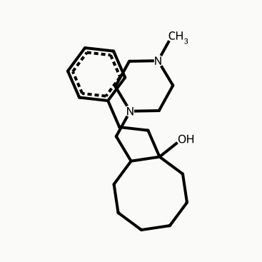 CN1CCN(CC2CCCCCCC2(O)CCc2ccccc2)CC1